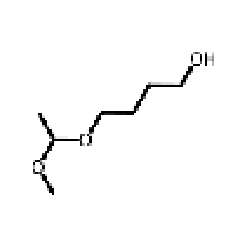 COC(C)OCCCCO